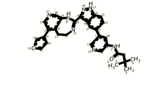 CC(C)(C)CC(=O)Nc1cncc(-c2ccc3[nH]nc(C4=NCCc5c(cncc5-c5ccoc5)N4)c3c2)c1